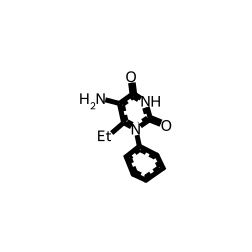 CCc1c(N)c(=O)[nH]c(=O)n1-c1ccccc1